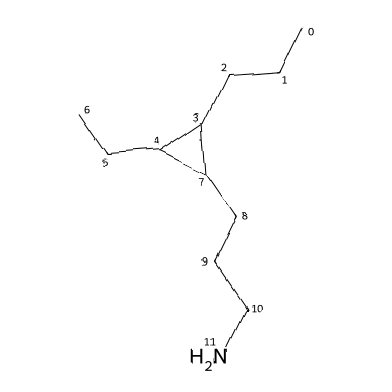 CCCC1C(CC)C1CCCN